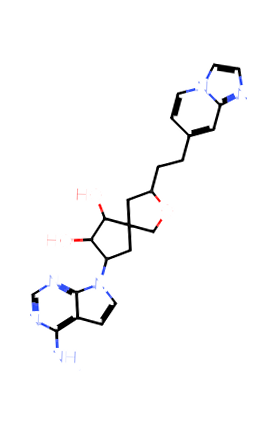 Nc1ncnc2c1ccn2C1CC2(COC(CCc3ccn4ccnc4c3)C2)C(O)C1O